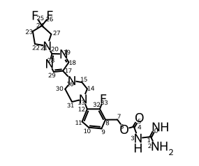 N=C(N)NC(=O)OCc1cccc(N2CCN(c3cnc(N4CCC(F)(F)C4)nc3)CC2)c1F